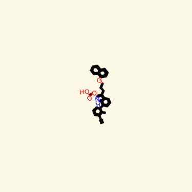 C#Cc1cccc(-c2cccc3c(CCCOc4cccc5ccccc45)c(OC(=O)O)[nH]c23)c1C